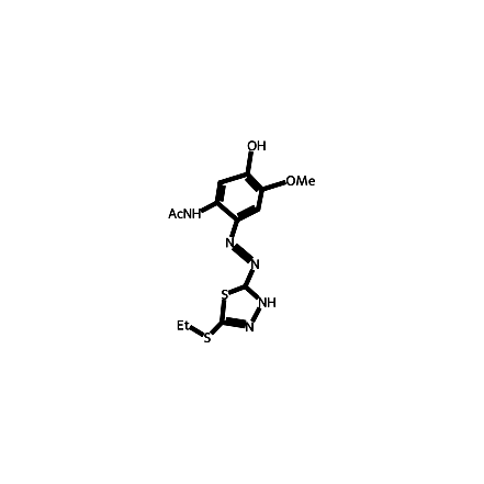 CCSC1=NNC(/N=N/c2cc(OC)c(O)cc2NC(C)=O)S1